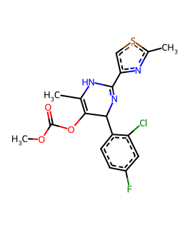 COC(=O)OC1=C(C)NC(c2csc(C)n2)=NC1c1ccc(F)cc1Cl